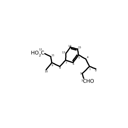 CC(CC=O)CC1=CC(CC(C)CC(=O)O)CC=C1